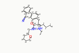 CCCC/C(NCC)=C(\Cc1ccc(-c2ccccc2C#N)cc1)C(=O)NCC1CCCCO1